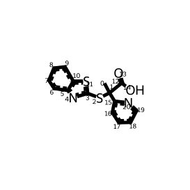 CC(Sc1nc2ccccc2s1)(C(=O)O)c1ccccn1